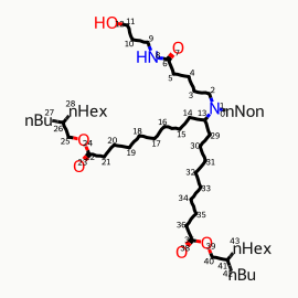 CCCCCCCCCN(CCCCC(=O)NCCCO)C(CCCCCCCCC(=O)OCC(CCCC)CCCCCC)CCCCCCCCC(=O)OCC(CCCC)CCCCCC